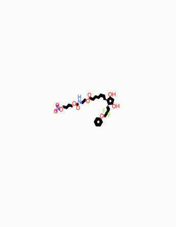 O=C(CCC/C=C\C[C@@H]1[C@@H](/C=C/C(F)(F)COc2ccccc2)[C@H](O)C[C@@H]1O)OCCNC(=O)OCCCCO[N+](=O)[O-]